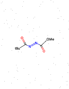 COC(=O)N=NC(=O)C(C)(C)C